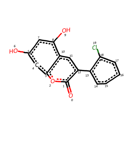 O=c1oc2cc(O)cc(O)c2cc1-c1ccccc1Cl